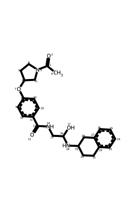 CC(=O)N1CCC(Oc2ccc(C(=O)NCC(O)NC3CCc4ccccc4C3)cc2)C1